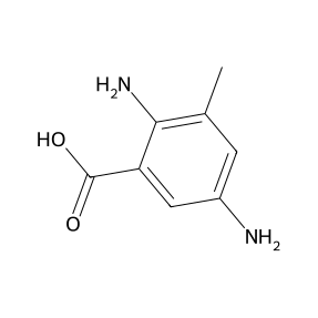 Cc1cc(N)cc(C(=O)O)c1N